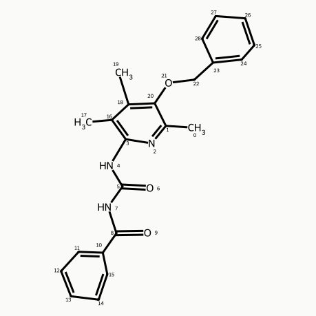 Cc1nc(NC(=O)NC(=O)c2ccccc2)c(C)c(C)c1OCc1ccccc1